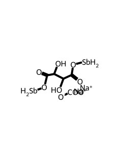 O=C([O-])[O-].O=C([O][SbH2])C(O)C(O)C(=O)[O][SbH2].[Na+].[Na+]